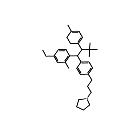 CCc1ccc(C(c2ccc(CCCN3CCCC3)cc2)C(C2=CC=C(C)CC2)C(C)(C)C)c(C)c1